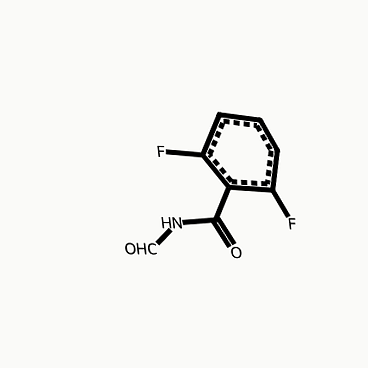 O=CNC(=O)c1c(F)cccc1F